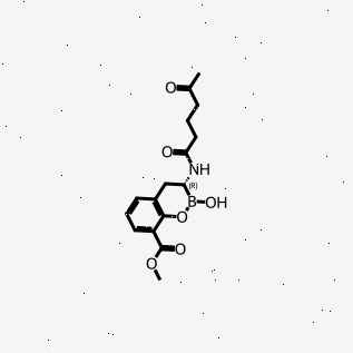 COC(=O)c1cccc2c1OB(O)[C@@H](NC(=O)CCCC(C)=O)C2